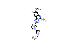 COc1cc2nc(N)n3nc([C@@H]4CCCN(c5cnn(CC(F)(F)F)c5)C4)nc3c2cc1F